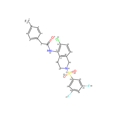 O=C(Cc1ccc(C(F)(F)F)cc1)Nc1c(Cl)ccc2c1CCN(S(=O)(=O)c1cc(F)cc(F)c1)C2